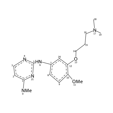 CNc1ccnc(Nc2ccc(OC)c(OCCCN(C)C)c2)n1